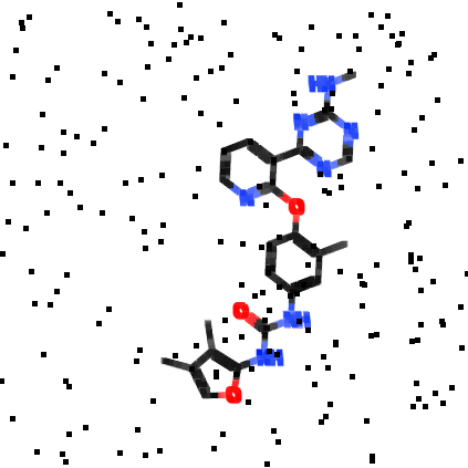 CNc1ncnc(-c2cccnc2Oc2ccc(NC(=O)Nc3occ(C)c3C)cc2C)n1